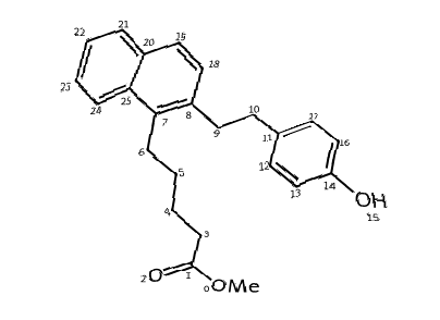 COC(=O)CCCCc1c(CCc2ccc(O)cc2)ccc2ccccc12